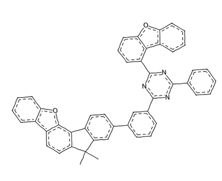 CC1(C)c2cc(-c3cccc(-c4nc(-c5ccccc5)nc(-c5cccc6oc7ccccc7c56)n4)c3)ccc2-c2c1ccc1c2oc2ccccc21